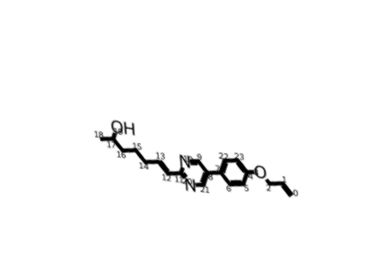 C=CCOc1ccc(-c2cnc(C=CCCCC(C)O)nc2)cc1